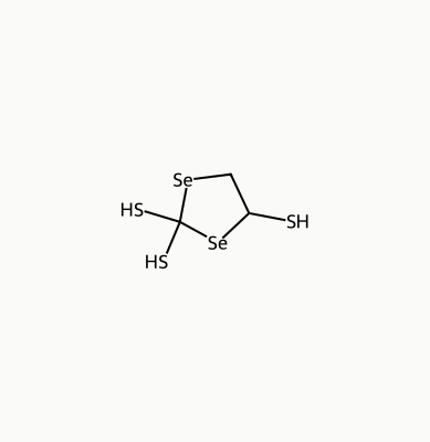 SC1C[Se]C(S)(S)[Se]1